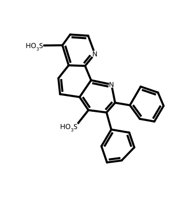 O=S(=O)(O)c1ccnc2c1ccc1c(S(=O)(=O)O)c(-c3ccccc3)c(-c3ccccc3)nc12